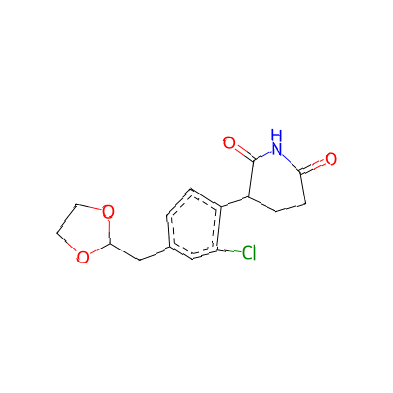 O=C1CCC(c2ccc(CC3OCCO3)cc2Cl)C(=O)N1